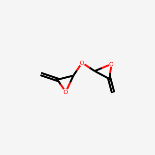 C=C1OC1OC1OC1=C